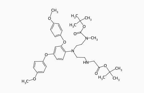 COc1ccc(Oc2ccc(N(CCNCC(=O)OC(C)(C)C)CCN(C)C(=O)OC(C)(C)C)c(Oc3ccc(OC)cc3)c2)cc1